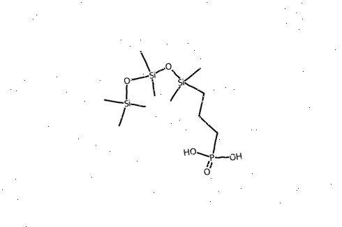 C[Si](C)(C)O[Si](C)(C)O[Si](C)(C)CCCP(=O)(O)O